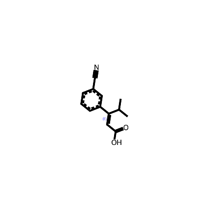 CC(C)/C(=C\C(=O)O)c1cccc(C#N)c1